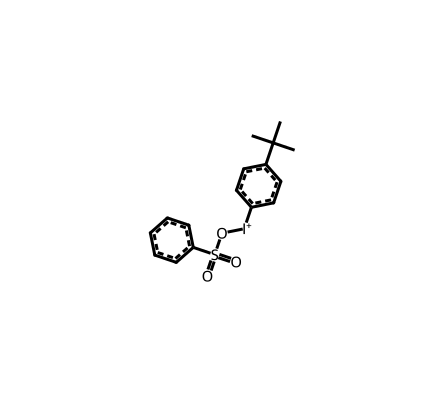 CC(C)(C)c1ccc([I+]OS(=O)(=O)c2ccccc2)cc1